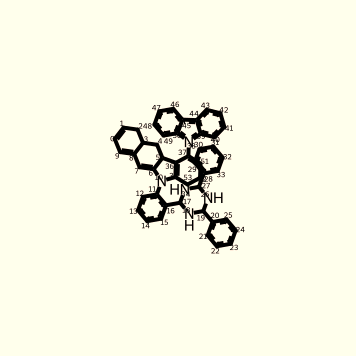 C1=CCC2CC3C(=CC2=C1)N(c1ccccc1C1NC(c2ccccc2)NC(c2ccccc2)N1)C1=C3C(n2c3ccccc3c3ccccc32)=CCC1